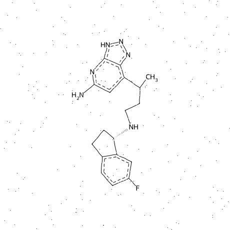 CC(CCN[C@H]1CCc2ccc(F)cc21)c1cc(N)nc2[nH]nnc12